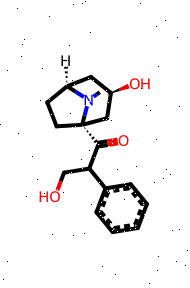 CN1[C@H]2CC[C@]1(C(=O)C(CO)c1ccccc1)C[C@H](O)C2